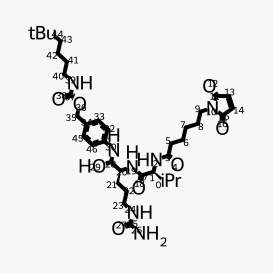 CC(C)[C@H](NC(=O)CCCCCN1C(=O)C=CC1=O)C(=O)N[C@@H](CCCNC(N)=O)C(O)Nc1ccc(COC(=O)NCCCCC(C)(C)C)cc1